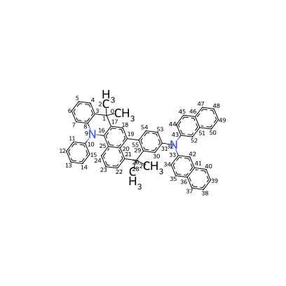 CC1(C)c2ccccc2N(c2ccccc2)c2c1cc1c3c(cccc23)C(C)(C)c2cc(N(c3ccc4ccccc4c3)c3ccc4ccccc4c3)ccc2-1